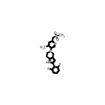 Cc1cc(CS(C)(=O)=O)ncc1N1CCc2[nH]c(-c3c(F)cccc3F)cc2C1